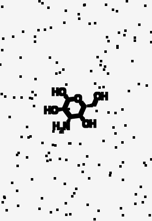 N[C@@H]1[C@@H](O)[C@@H](O)O[C@H](CO)[C@H]1O